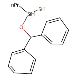 CCC[SiH](S)OC(c1ccccc1)c1ccccc1